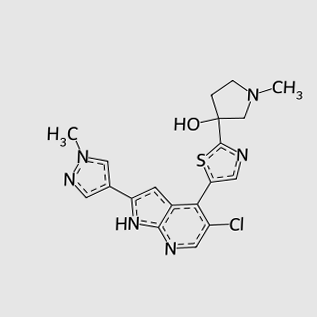 CN1CCC(O)(c2ncc(-c3c(Cl)cnc4[nH]c(-c5cnn(C)c5)cc34)s2)C1